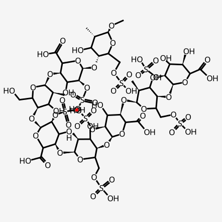 CO[C@H]1OC(COS(=O)(=O)O)[C@H](O[C@@H]2OC(C(=O)O)[C@H](O[C@@H]3OC(CO)[C@H](O[C@@H]4OC(C(=O)O)[C@H](O[C@@H]5OC(COS(=O)(=O)O)[C@H](O[C@@H]6OC(C(=O)O)[C@H](O[C@@H]7OC(COS(=O)(=O)O)[C@H](O[C@@H]8OC(C(=O)O)[C@H](O)C(O)[C@@H]8OS(=O)(=O)O)C(O)[C@@H]7C)C(O)[C@@H]6OS(=O)(=O)O)C(O)[C@@H]5C)C(O)[C@@H]4OS(=O)(=O)O)C(O)[C@@H]3C)C(O)[C@@H]2OS(=O)(=O)O)C(O)[C@@H]1C